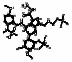 COc1ccc(N(C)S(C)(=O)=O)c(CNc2nc(-c3cc(F)c(OC)cc3CC(F)(F)F)nc3c2c(C(=O)NN)nn3COCC[Si](C)(C)C)c1